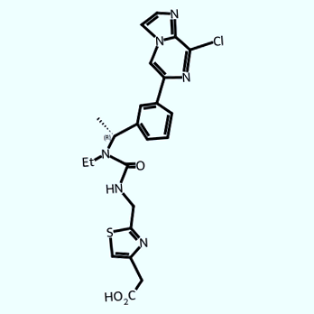 CCN(C(=O)NCc1nc(CC(=O)O)cs1)[C@H](C)c1cccc(-c2cn3ccnc3c(Cl)n2)c1